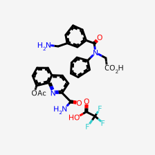 CC(=O)Oc1cccc2ccc(C(N)=O)nc12.NCc1cccc(C(=O)N(CC(=O)O)c2ccccc2)c1.O=C(O)C(F)(F)F